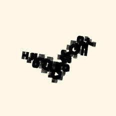 CC(C)NC(=O)N1CCC(c2nc(C(=O)Nc3ccccc3N3CCN(CC(N)=O)CC3)cs2)CC1